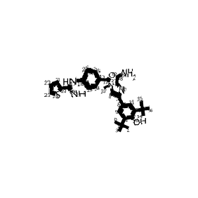 CC(C)(C)c1cc(C2=C[N+](C)(C(=O)c3ccc(NC(=N)c4cccs4)cc3)C(CN)=N2)cc(C(C)(C)C)c1O